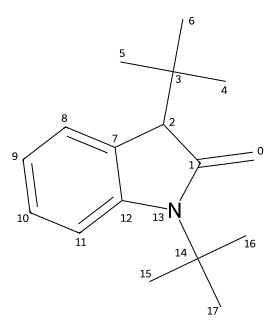 C=C1C(C(C)(C)C)c2ccccc2N1C(C)(C)C